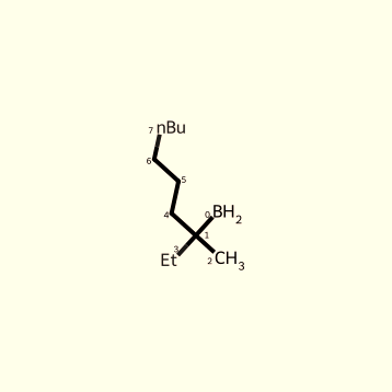 BC(C)(CC)CCCCCCC